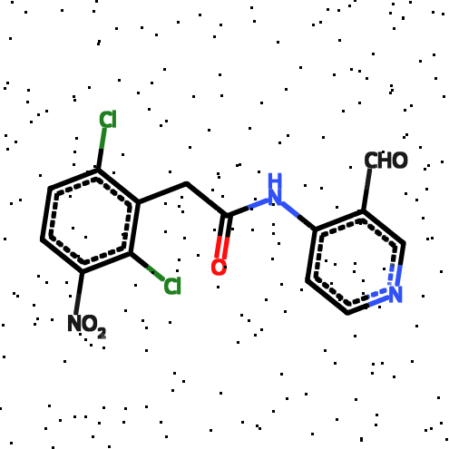 O=Cc1cnccc1NC(=O)Cc1c(Cl)ccc([N+](=O)[O-])c1Cl